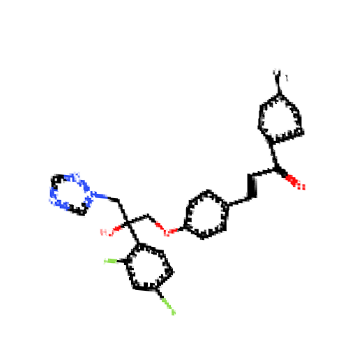 Cc1ccc(C(=O)/C=C/c2ccc(OCC(O)(Cn3cncn3)c3ccc(F)cc3F)cc2)cc1